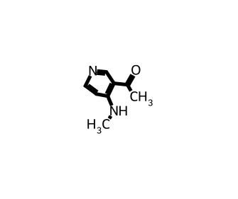 CNc1ccncc1C(C)=O